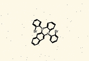 Brc1ccccc1N1c2ccccc2N(c2ccccc2Br)c2cc3ccccc3cc21